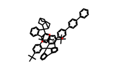 CC(C)(C)c1ccc2c(c1)C1(c3ccccc3-c3cccc(N(c4ccc(-c5ccc(-c6ccccc6)cc5)cc4)c4ccc5c(c4)C4(c6ccccc6-5)C5CC6CC(C5)C4C6)c31)c1cc(C(C)(C)C)ccc1C2(C)C